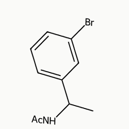 CC(=O)NC(C)c1cccc(Br)c1